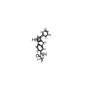 CC(C)(C)C(=O)Nc1ccc2c(c1)Cc1c(-c3ccccc3)n[nH]c1-2